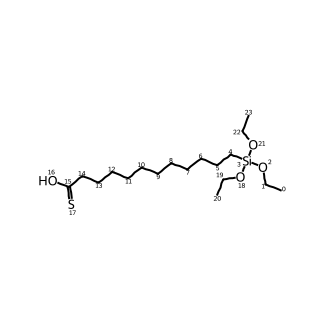 CCO[Si](CCCCCCCCCCCC(O)=S)(OCC)OCC